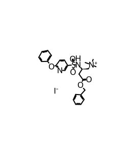 C[N+](C)(C)C[C@@H](CC(=O)OCc1ccccc1)NS(=O)(=O)c1ccc(Oc2ccccc2)nc1.[I-]